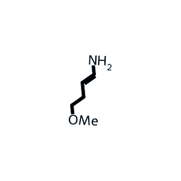 COCC/C=C/N